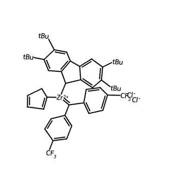 CC(C)(C)c1cc2c(cc1C(C)(C)C)[CH]([Zr+2]([C]1=CC=CC1)=[C](c1ccc(C(F)(F)F)cc1)c1ccc(C(F)(F)F)cc1)c1cc(C(C)(C)C)c(C(C)(C)C)cc1-2.[Cl-].[Cl-]